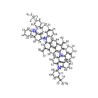 CCC(C)(C)c1cccc(-n2c3ccccc3c3ccc(N(c4cccc5c4CCCC5)c4cc(C(C)C)c5ccc6c(N(c7cccc8c7CCCC8)c7cccc8c7c7ccccc7n8-c7cccc(C(C)(C)CC)c7)cc(C(C)C)c7ccc4c5c76)cc32)c1